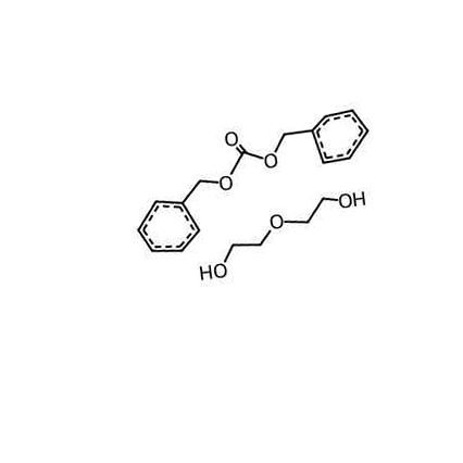 O=C(OCc1ccccc1)OCc1ccccc1.OCCOCCO